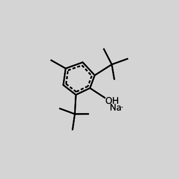 Cc1cc(C(C)(C)C)c(O)c(C(C)(C)C)c1.[Na]